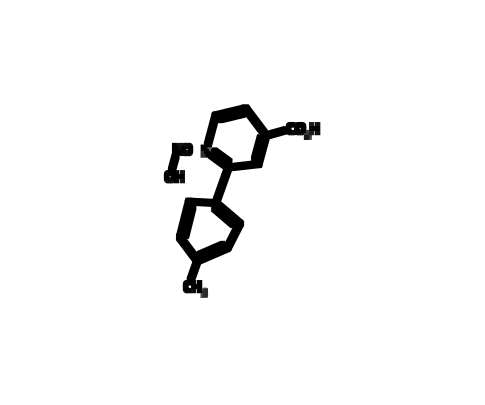 Cc1ccc(-c2cc(C(=O)O)ccn2)cc1.O=NO